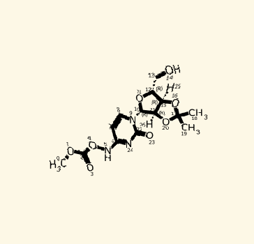 COC(=O)ONc1ccn([C@@H]2O[C@H](CO)[C@H]3OC(C)(C)O[C@H]32)c(=O)n1